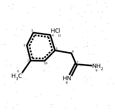 Cc1cccc(CC(=N)N)c1.Cl